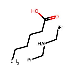 CC(C)[CH2][AlH][CH2]C(C)C.CCCCCC(=O)O